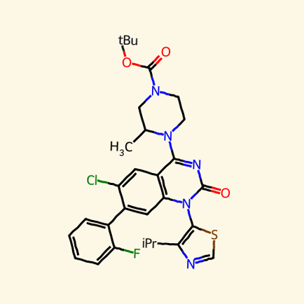 CC(C)c1ncsc1-n1c(=O)nc(N2CCN(C(=O)OC(C)(C)C)CC2C)c2cc(Cl)c(-c3ccccc3F)cc21